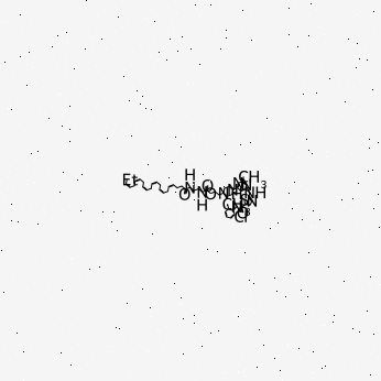 CC/C=C\C/C=C\C/C=C\C/C=C\C/C=C\C/C=C\CCC(=O)NCCNC(=O)OCCN1CCN(c2cc(Nc3ncc(C(=O)Nc4c(C)cccc4Cl)s3)nc(C)n2)CC1